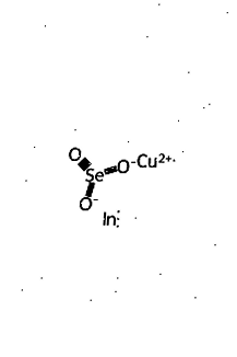 O=[Se]([O-])[O-].[Cu+2].[In]